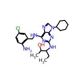 CCC(Nc1nc(NCc2cc(Cl)ccc2N)c2ncn(C3CCCCC3)c2n1)C(C)O